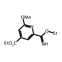 CCOC(=N)c1cc(C(=O)OCC)cc(OC)n1